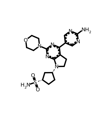 Nc1ncc(-c2nc(N3CCOCC3)nc3c2CCN3[C@@H]2CC[C@H](S(N)(=O)=O)C2)cn1